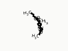 CCCCCCOC(=O)CC(C)c1ccc(-c2ncc(OCCC)cn2)cc1